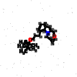 CC(C)(C)[Si](C)(C)OCC=Cc1cccc2cc(C=O)n(CC3CC3)c12